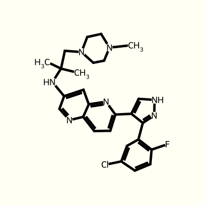 CN1CCN(CC(C)(C)Nc2cnc3ccc(-c4c[nH]nc4-c4cc(Cl)ccc4F)nc3c2)CC1